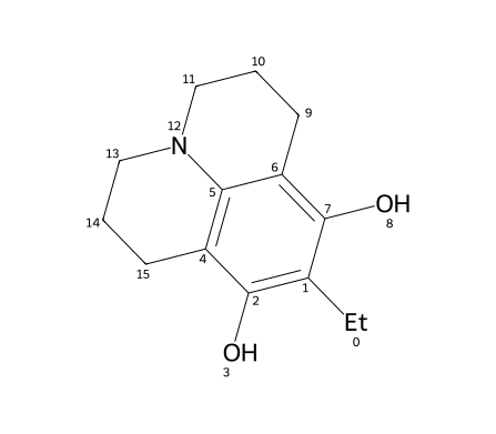 CCc1c(O)c2c3c(c1O)CCCN3CCC2